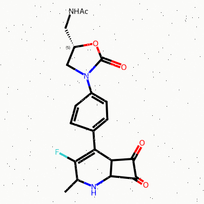 CC(=O)NC[C@H]1CN(c2ccc(C3=C(F)C(C)NC4C(=O)C(=O)C34)cc2)C(=O)O1